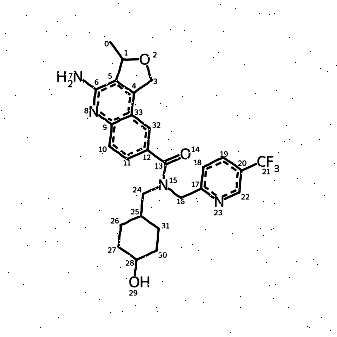 CC1OCc2c1c(N)nc1ccc(C(=O)N(Cc3ccc(C(F)(F)F)cn3)CC3CCC(O)CC3)cc21